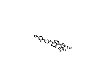 OC[C@H]1O[C@@H](n2cnc3c(N[C@H]4CCN(c5ccc(Cl)cn5)C4)ncnc32)[C@@H](O)[C@H]1O